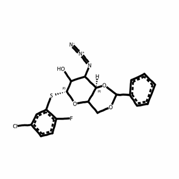 [N-]=[N+]=NC1C(O)[C@@H](Sc2cc(Cl)ccc2F)OC2COC(c3ccccc3)O[C@@H]21